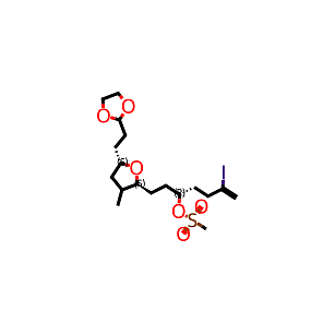 C=C(I)CC[C@@H](CC[C@@H]1O[C@@H](CCC2OCCO2)CC1C)OS(C)(=O)=O